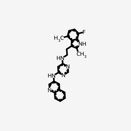 Cc1[nH]c2c(F)ccc(C)c2c1CCNc1cc(Nc2cnc3ccccc3c2)ncn1